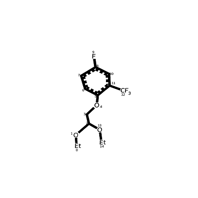 CCOC(COc1ccc(F)cc1C(F)(F)F)OCC